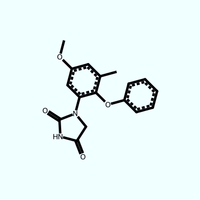 COc1cc(C)c(Oc2ccccc2)c(N2CC(=O)NC2=O)c1